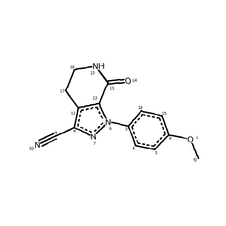 COc1ccc(-n2nc(C#N)c3c2C(=O)NCC3)cc1